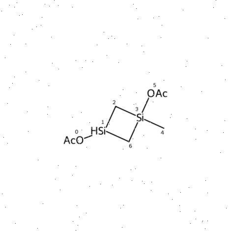 CC(=O)O[SiH]1C[Si](C)(OC(C)=O)C1